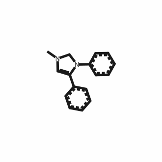 CN1C=C(c2ccccc2)N(c2ccccc2)C1